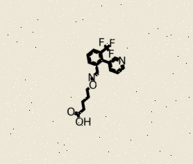 O=C(O)CCCCON=Cc1cccc(C(F)(F)F)c1-c1cccnc1